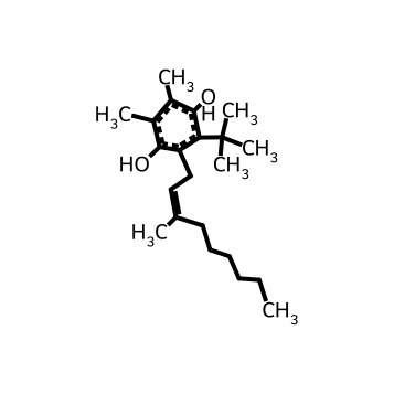 CCCCCCC(C)=CCc1c(O)c(C)c(C)c(O)c1C(C)(C)C